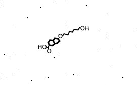 O=C(O)c1ccc2cc(OCCCCCCCCO)ccc2c1